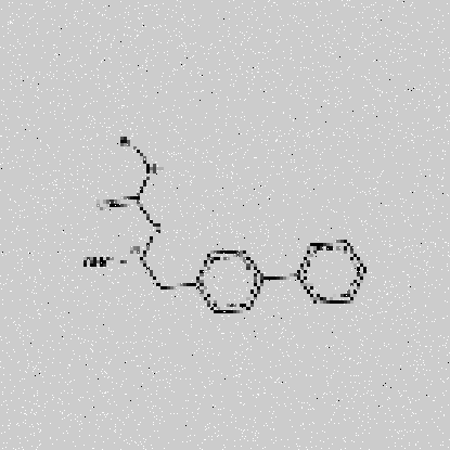 CC(C)(C)NC(=O)O[C@@H](C=O)Cc1ccc(-c2ccccc2)cc1